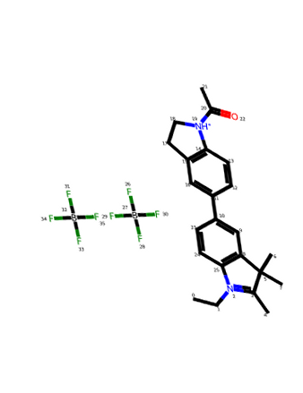 CC[N+]1=C(C)C(C)(C)c2cc(-c3ccc4c(c3)CC[NH+]4C(C)=O)ccc21.F[B-](F)(F)F.F[B-](F)(F)F